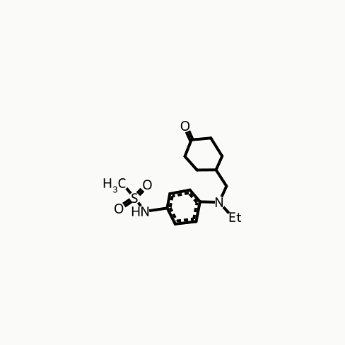 CCN(CC1CCC(=O)CC1)c1ccc(NS(C)(=O)=O)cc1